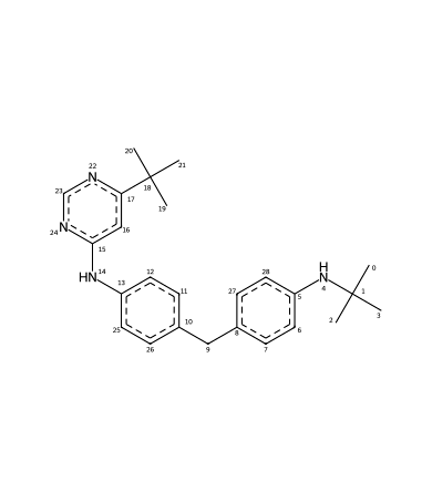 CC(C)(C)Nc1ccc(Cc2ccc(Nc3cc(C(C)(C)C)ncn3)cc2)cc1